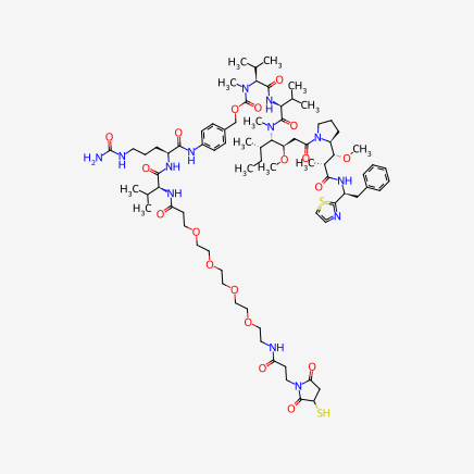 CC[C@H](C)[C@@H]([C@@H](CC(=O)N1CCC[C@H]1[C@H](OC)[C@@H](C)C(=O)N[C@@H](Cc1ccccc1)c1nccs1)OC)N(C)C(=O)[C@@H](NC(=O)[C@H](C(C)C)N(C)C(=O)OCc1ccc(NC(=O)[C@H](CCCNC(N)=O)NC(=O)[C@@H](NC(=O)CCOCCOCCOCCOCCNC(=O)CCN2C(=O)CC(S)C2=O)C(C)C)cc1)C(C)C